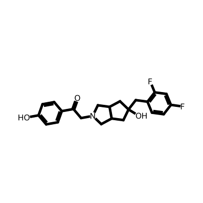 O=C(CN1CC2CC(O)(Cc3ccc(F)cc3F)CC2C1)c1ccc(O)cc1